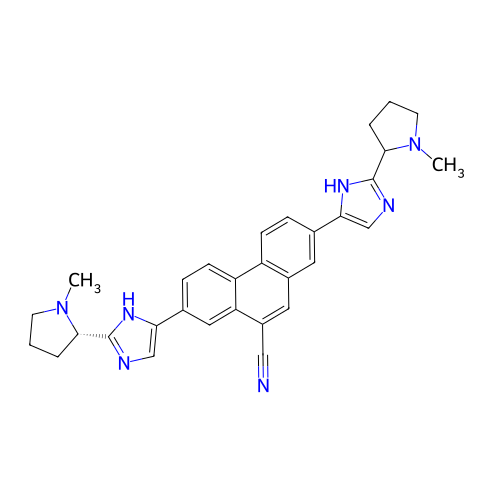 CN1CCCC1c1ncc(-c2ccc3c(c2)cc(C#N)c2cc(-c4cnc([C@@H]5CCCN5C)[nH]4)ccc23)[nH]1